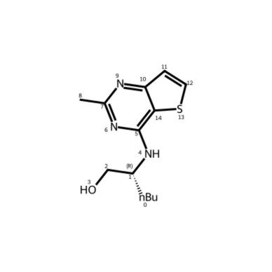 CCCC[C@H](CO)Nc1nc(C)nc2ccsc12